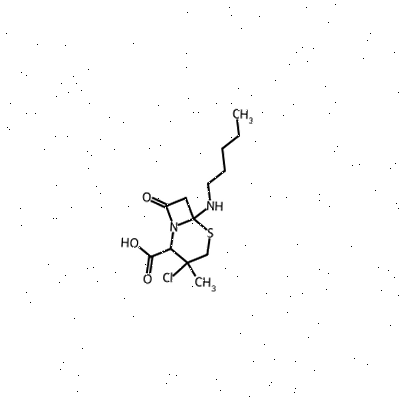 CCCCCNC12CC(=O)N1C(C(=O)O)C(C)(Cl)CS2